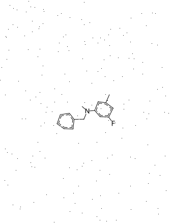 Cc1cc(F)cc(N(C)Cc2ccccc2)c1